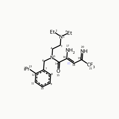 CCN(CC)CCN(Cc1ccccc1C(C)C)C(=O)/C(N)=C/C(=N)C(F)(F)F